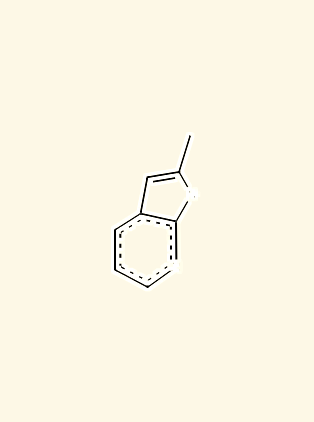 CC1=Cc2cccnc2[N]1